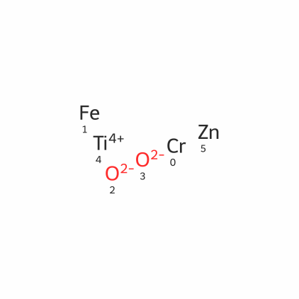 [Cr].[Fe].[O-2].[O-2].[Ti+4].[Zn]